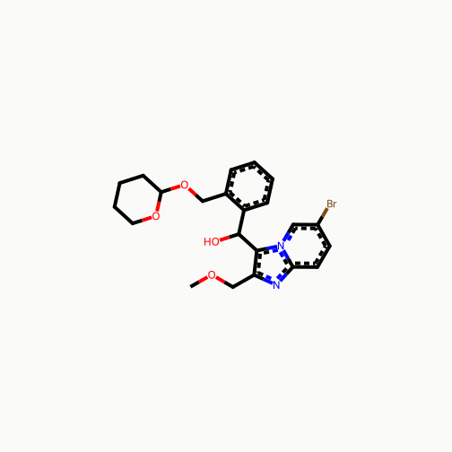 COCc1nc2ccc(Br)cn2c1C(O)c1ccccc1COC1CCCCO1